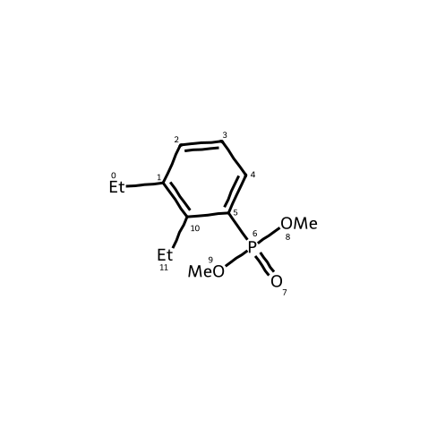 CCc1cccc(P(=O)(OC)OC)c1CC